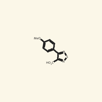 COc1ccc(-c2nsnc2C(=O)O)cc1